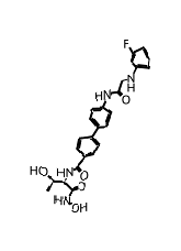 C[C@@H](O)[C@H](NC(=O)c1ccc(-c2ccc(NC(=O)CNc3cccc(F)c3)cc2)cc1)C(=O)NO